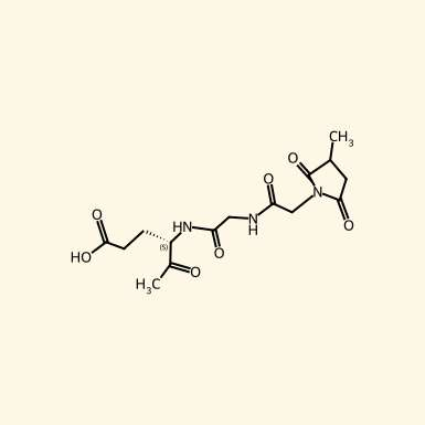 CC(=O)[C@H](CCC(=O)O)NC(=O)CNC(=O)CN1C(=O)CC(C)C1=O